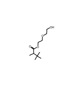 CC(C(=O)OCCOCCO)C(C)(C)C